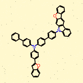 c1ccc(-c2ccc(N(c3ccc(-c4ccc(-n5c6ccccc6c6cc7c(cc65)oc5ccccc57)cc4)cc3)c3ccc(-c4cc5ccccc5o4)cc3)cc2)cc1